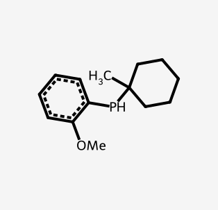 COc1ccccc1PC1(C)CCCCC1